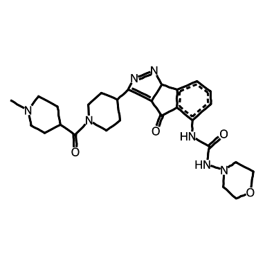 CN1CCC(C(=O)N2CCC(C3=C4C(=O)c5c(NC(=O)NN6CCOCC6)cccc5C4N=N3)CC2)CC1